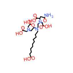 NC(=O)CC(C(=O)O)N(CCN(CCCCCCCCCCC(=O)O)CCN(CC(=O)O)CC(=O)O)CC(=O)O